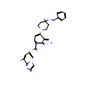 Cc1cn2cc(NC(=O)c3ccc(N4CCC(NCc5ccccc5)(C(F)(F)F)CC4)c4cn(C)nc34)cc(F)c2n1